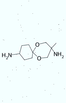 CC1(N)COC2(CCC(N)CC2)OC1